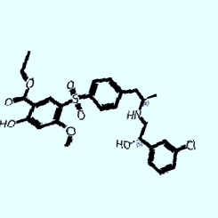 CCOC(=O)c1cc(S(=O)(=O)c2ccc(C[C@@H](C)NC[C@@H](O)c3cccc(Cl)c3)cc2)c(OC)cc1O